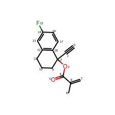 C#CC1(OC(=O)C(=C)C)CCCc2cc(F)ccc21